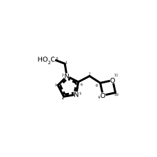 O=C(O)Cn1ccnc1CC1OCO1